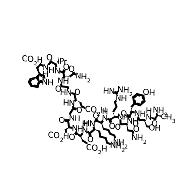 CC(C)[C@H](NC(=O)[C@H](CC(N)=O)NC(=O)CNC(=O)[C@H](CCC(=O)O)NC(=O)CNC(=O)[C@H](CC(=O)O)NC(=O)[C@H](CCC(=O)O)NC(=O)[C@H](CCCCN)NC(=O)[C@H](CCCCN)NC(=O)[C@H](CCCNC(=N)N)NC(=O)[C@H](CC(N)=O)NC(=O)[C@H](Cc1ccc(O)cc1)NC(=O)[C@H](CO)NC(=O)[C@H](C)N)C(=O)N[C@@H](Cc1c[nH]c2ccccc12)C(=O)O